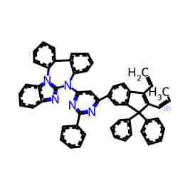 C=CC1=C(/C=C\C)C(c2ccccc2)(c2ccccc2)c2cc(-c3cc(N4c5ccccc5-c5ccccc5-n5c4nc4ccccc45)nc(-c4ccccc4)n3)ccc21